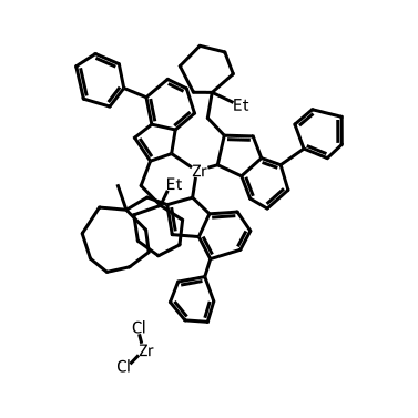 CCC1(CC2=Cc3c(-c4ccccc4)cccc3[CH]2[Zr]([CH]2C(CC3(C)CCCCCCC3)=Cc3c(-c4ccccc4)cccc32)[CH]2C(CC3(CC)CCCCC3)=Cc3c(-c4ccccc4)cccc32)CCCCC1.[Cl][Zr][Cl]